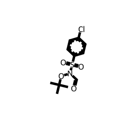 CC(C)(C)ON(C=O)S(=O)(=O)c1ccc(Cl)cc1